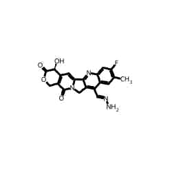 Cc1cc2c(/C=N/N)c3c(nc2cc1F)-c1cc2c(c(=O)n1C3)COC(=O)[C@H]2O